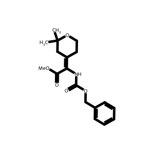 COC(=O)/C(NC(=O)OCc1ccccc1)=C1/CCOC(C)(C)C1